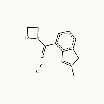 CC1=Cc2c(cccc2C(=O)[N]2C[CH2][Ti+2]2)C1.[Cl-].[Cl-]